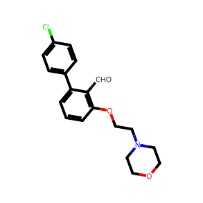 O=Cc1c(OCCN2CCOCC2)cccc1-c1ccc(Cl)cc1